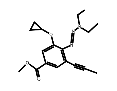 CC#Cc1cc(C(=O)OC)cc(OC2CC2)c1/N=N/N(CC)CC